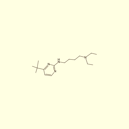 CCN(CC)CCCCNc1nccc(C(C)(C)C)n1